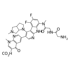 CN1CC2CCN(c3c(-c4cnc5c(c4)c(=O)c(C(=O)O)cn5C)cnc4[nH]c5c(N(C)C(=O)CNC(=O)CN)cc(F)c(F)c5c34)C2C1